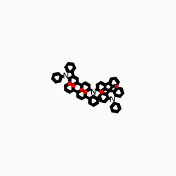 c1ccc(-c2ccc(-c3ccccc3N(c3ccc(-c4ccc5c(c4)c4ccccc4n5-c4ccccc4)cc3)c3ccc4c(c3)C3(c5ccccc5-4)c4ccccc4N(c4ccccc4)c4ccccc43)cc2)cc1